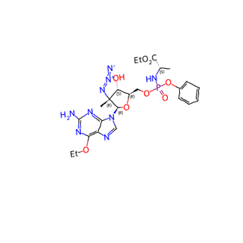 CCOC(=O)[C@H](C)NP(=O)(OC[C@H]1O[C@@H](n2cnc3c(OCC)nc(N)nc32)[C@](C)(N=[N+]=[N-])[C@@H]1O)Oc1ccccc1